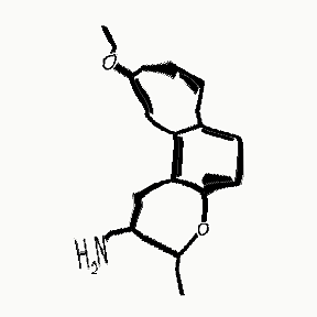 COc1ccc2ccc3c(c2c1)CC(N)C(C)O3